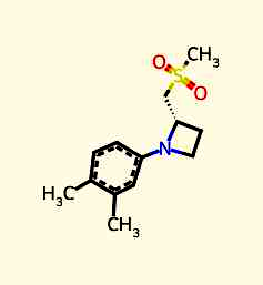 Cc1ccc(N2CC[C@H]2CS(C)(=O)=O)cc1C